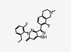 C=C1C=c2[nH]nc(-c3ccc4c(c3F)CN(C)CC4)c2=NN1c1c(F)cccc1CC